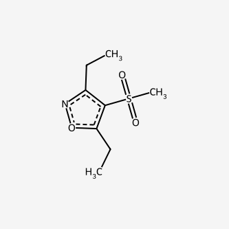 CCc1noc(CC)c1S(C)(=O)=O